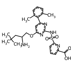 Cc1cccc(C)c1-c1cc(OCC(N)CC(C)(C)C)nc(NS(=O)(=O)c2cccc(C(=O)O)n2)n1